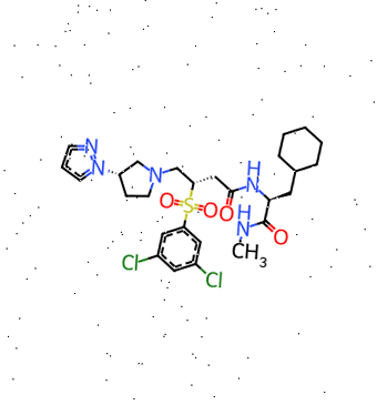 CNC(=O)[C@H](CC1CCCCC1)NC(=O)C[C@@H](CN1CC[C@H](n2cccn2)C1)S(=O)(=O)c1cc(Cl)cc(Cl)c1